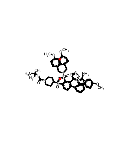 COc1ccc(CN(Cc2ccc(OC)cc2)S(=O)(=O)c2c(S(=O)(=O)C3CCN(C(=O)OC(C)(C)C)CC3)ccc(-c3cccc4sc(N)nc34)c2-c2nnnn2Cc2ccc(OC)cc2)cc1